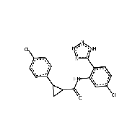 O=C(Nc1cc(Cl)ccc1-c1nnn[nH]1)C1CC1c1ccc(Cl)cc1